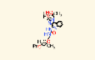 CCOCc1nc2c(NC(=O)NCCOC(C)(C)CCOC(C)C)nc3ccccc3c2n1CC(C)(C)O